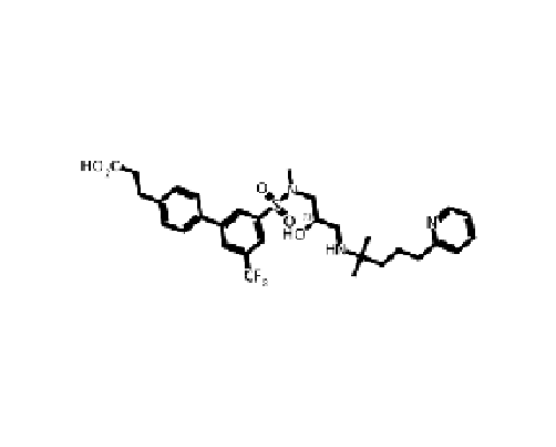 CN(C[C@H](O)CNC(C)(C)CCCc1ccccn1)S(=O)(=O)c1cc(-c2ccc(CCC(=O)O)cc2)cc(C(F)(F)F)c1